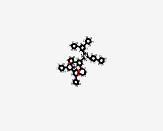 C1#CCC(c2cc(-c3nc(-c4ccc(-c5ccccc5)cc4)nc(-c4cc(-c5ccccc5)cc(-c5ccccc5)c4)n3)cc(-c3ccccc3)c2-n2c3c(c4cc(-c5ccccc5)ccc42)C=C(c2ccccc2)CC3)=CC=C1